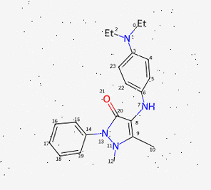 CCN(CC)c1ccc(Nc2c(C)n(C)n(-c3ccccc3)c2=O)cc1